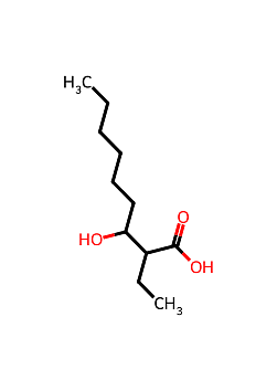 CCCCCCC(O)C(CC)C(=O)O